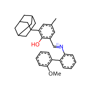 COc1ccccc1-c1ccccc1/N=C/c1cc(C)cc(C23CC4CC(CC(C4)C2)C3)c1O